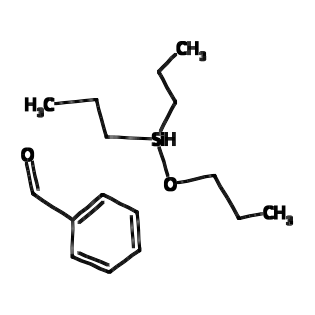 CCCO[SiH](CCC)CCC.O=Cc1ccccc1